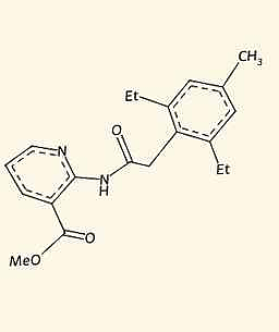 CCc1cc(C)cc(CC)c1CC(=O)Nc1ncccc1C(=O)OC